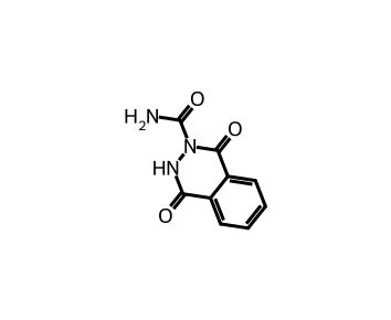 NC(=O)n1[nH]c(=O)c2ccccc2c1=O